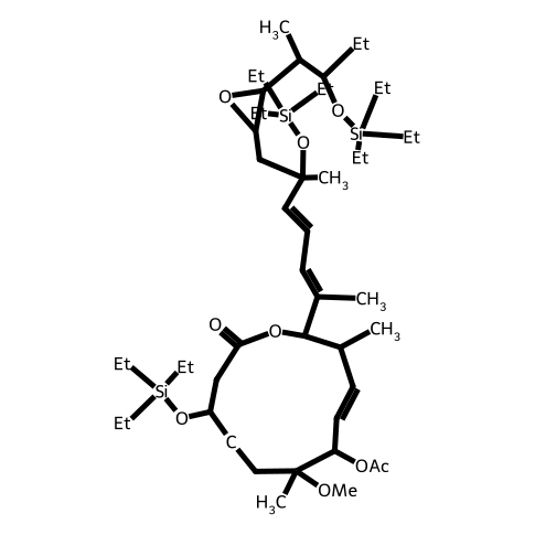 CCC(O[Si](CC)(CC)CC)C(C)C1OC1CC(C)(/C=C/C=C(\C)C1OC(=O)CC(O[Si](CC)(CC)CC)CCC(C)(OC)C(OC(C)=O)/C=C/C1C)O[Si](CC)(CC)CC